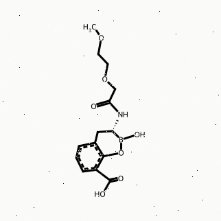 COCCOCC(=O)N[C@H]1Cc2cccc(C(=O)O)c2OB1O